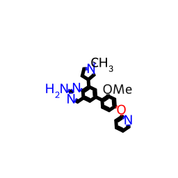 COc1cc(Oc2ccccn2)ccc1-c1cc(C2CCN(C)C2)c2nc(N)ncc2c1